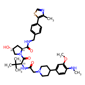 CNc1ccc(C2CCN(CC(=O)N[C@H](C(=O)N3C[C@H](O)C[C@H]3C(=O)NCc3ccc(-c4scnc4C)cc3)C(C)(C)C)CC2)cc1OC